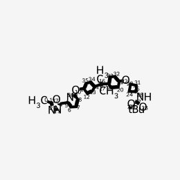 Cc1nnc(-c2cccc(Oc3ccc(C(C)(C)c4ccc(OC5CC(NC(=O)OC(C)(C)C)C5)cc4)cc3)n2)o1